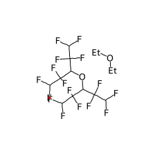 CCOCC.FC(F)C(F)(F)C(OC(C(F)(F)C(F)F)C(F)(F)C(F)F)C(F)(F)C(F)F